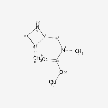 C=C1CN[C@@H]1CN(C)C(=O)OC(C)(C)C